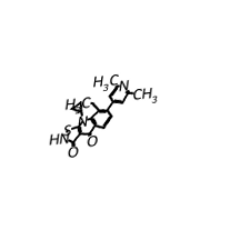 CCc1c(-c2cc(C)nc(C)c2)ccc2c(=O)c3c(=O)[nH]sc3n(C3CC3)c12